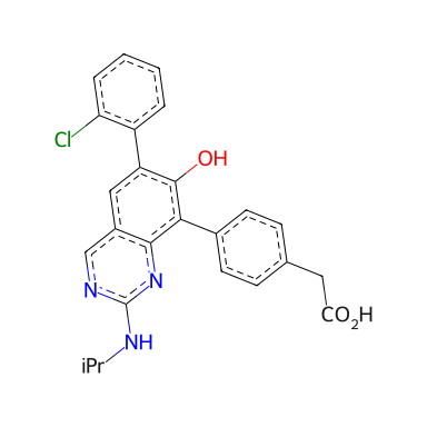 CC(C)Nc1ncc2cc(-c3ccccc3Cl)c(O)c(-c3ccc(CC(=O)O)cc3)c2n1